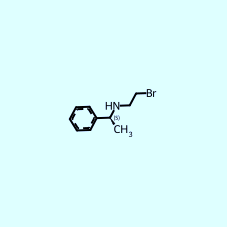 C[C@H](NCCBr)c1ccccc1